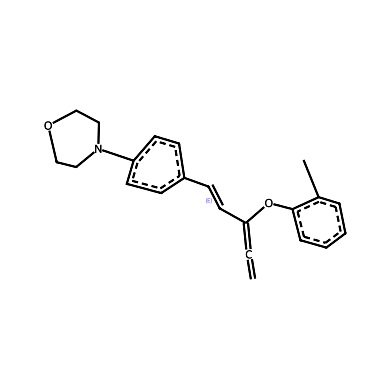 C=C=C(/C=C/c1ccc(N2CCOCC2)cc1)Oc1ccccc1C